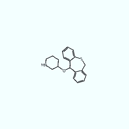 c1ccc2c(c1)CSc1ccccc1C2OC1CCCNC1